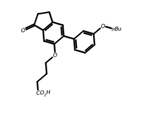 CCCCOc1cccc(-c2cc3c(cc2OCCCC(=O)O)C(=O)CC3)c1